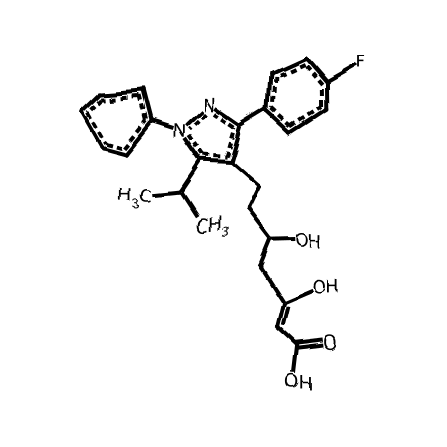 CC(C)c1c(CCC(O)CC(O)=CC(=O)O)c(-c2ccc(F)cc2)nn1-c1ccccc1